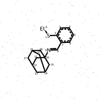 CCSc1ccccc1C=NC12CC3CC(CC(C3)C1)C2